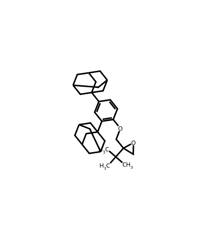 CC(C)(C)C1(COc2ccc(C34CC5CC(CC(C5)C3)C4)cc2C23CC4CC(CC(C4)C2)C3)CO1